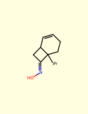 CC(C)C12CCC=CC1CC2=NO